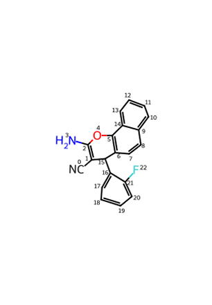 N#CC1=C(N)Oc2c(ccc3ccccc23)C1c1ccccc1F